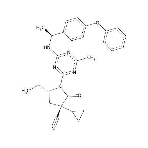 CC[C@H]1C[C@@](C#N)(C2CC2)C(=O)N1c1nc(C)nc(N[C@@H](C)c2ccc(Oc3ccccc3)cc2)n1